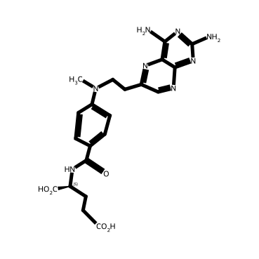 CN(CCc1cnc2nc(N)nc(N)c2n1)c1ccc(C(=O)N[C@@H](CCC(=O)O)C(=O)O)cc1